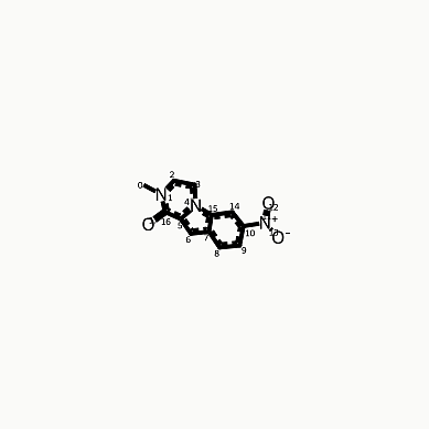 Cn1ccn2c(cc3ccc([N+](=O)[O-])cc32)c1=O